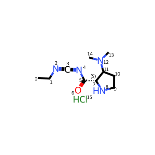 CCN=C=NC(=O)[C@H]1NCCC1N(C)C.Cl